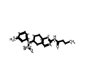 CCCC(=O)Nc1ncc2c(n1)CCC(N(c1cccc(C)c1)[SH](=O)=O)C2